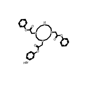 Br.O=C(CN1CCNCCN(CC(=O)Oc2ccccc2)CCN(CC(=O)Oc2ccccc2)CC1)Oc1ccccc1